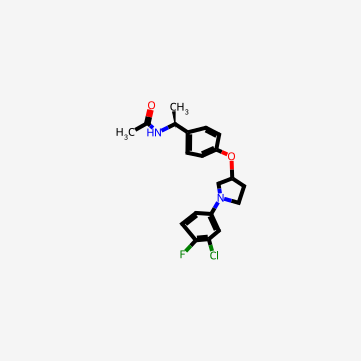 CC(=O)N[C@@H](C)c1ccc(OC2CCN(c3ccc(F)c(Cl)c3)C2)cc1